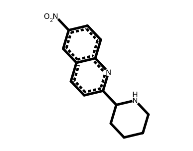 O=[N+]([O-])c1ccc2nc(C3CCCCN3)ccc2c1